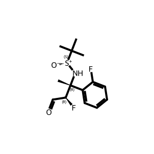 CC(C)(C)[S@@+]([O-])N[C@](C)(c1ccccc1F)[C@@H](F)C=O